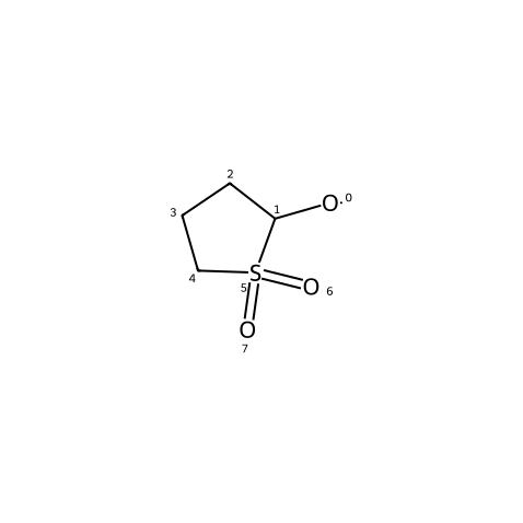 [O]C1CCCS1(=O)=O